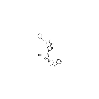 Cc1oc2ccccc2c1CN(C)C(=O)/C=C/c1cnc2c(c1)CN(CCN1CCOCC1)C(=O)N2.Cl